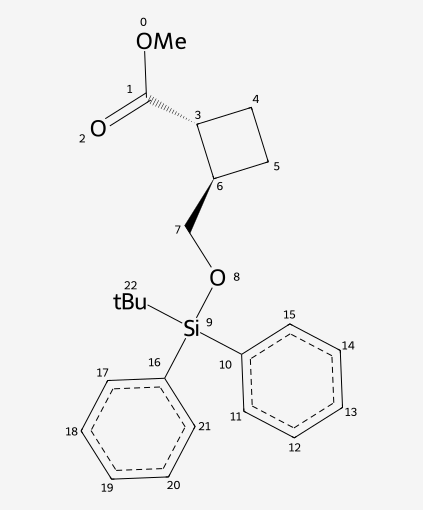 COC(=O)[C@@H]1CC[C@H]1CO[Si](c1ccccc1)(c1ccccc1)C(C)(C)C